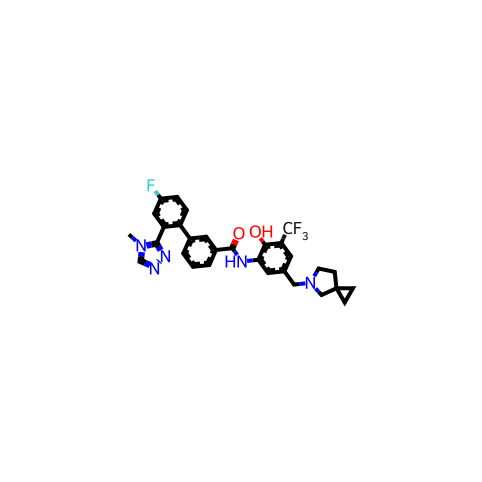 Cn1cnnc1-c1cc(F)ccc1-c1cccc(C(=O)Nc2cc(CN3CCC4(CC4)C3)cc(C(F)(F)F)c2O)c1